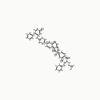 CN(C)CCC(CSc1ccccc1)Nc1ccc(S(=O)(=O)Nc2ncnc3cc(C4=CCN(Cc5cc(Cl)ccc5-c5ccccc5)CC4)ccc23)cc1C(F)(F)F